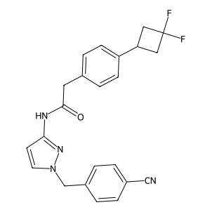 N#Cc1ccc(Cn2ccc(NC(=O)Cc3ccc(C4CC(F)(F)C4)cc3)n2)cc1